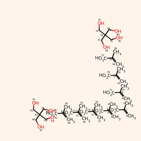 C=C(C)C(=O)O.C=C(C)C(=O)O.C=C(C)C(=O)O.C=C(C)C(=O)O.C=C(C)C(=O)O.C=C(C)C(=O)O.C=C(C)C(=O)O.C=C(C)C(=O)O.OCC(CO)(CO)CO.OCC(CO)(CO)CO